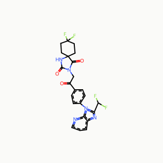 O=C(CN1C(=O)NC2(CCC(F)(F)CC2)C1=O)c1ccc(-n2c(C(F)F)nc3cccnc32)cc1